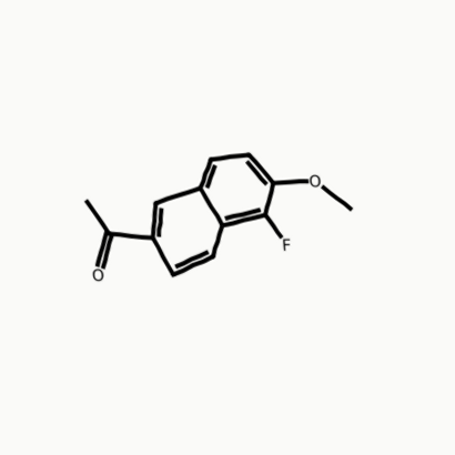 COc1ccc2cc(C(C)=O)ccc2c1F